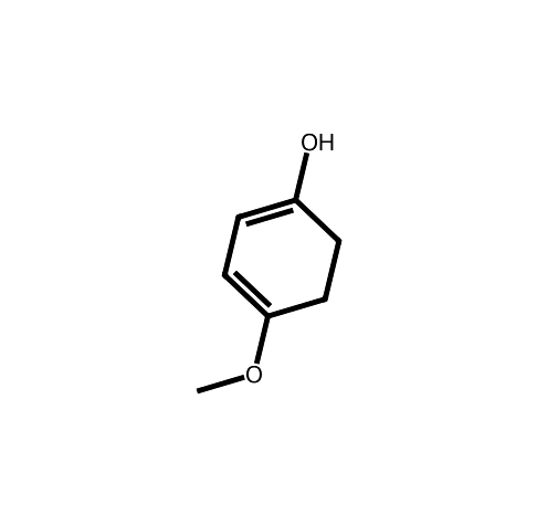 COC1=CC=C(O)CC1